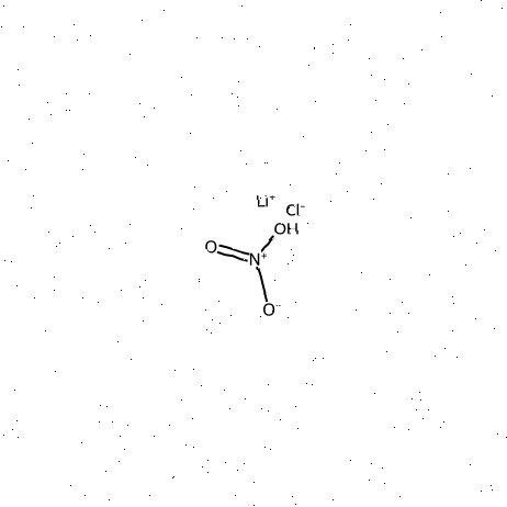 O=[N+]([O-])O.[Cl-].[Li+]